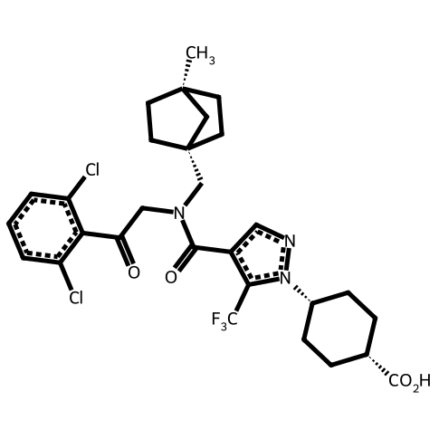 C[C@]12CC[C@](CN(CC(=O)c3c(Cl)cccc3Cl)C(=O)c3cnn([C@H]4CC[C@@H](C(=O)O)CC4)c3C(F)(F)F)(CC1)C2